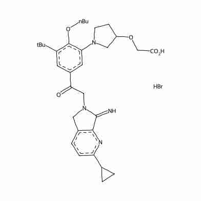 Br.CCCCOc1c(N2CCC(OCC(=O)O)C2)cc(C(=O)CN2Cc3ccc(C4CC4)nc3C2=N)cc1C(C)(C)C